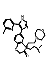 Cc1cccc(-c2[nH]nnc2-c2ccc3c(c2)[N+](CCN(C)C)(CCN2CCOCC2)C(=O)CO3)n1